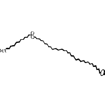 CCCCCCCCC=CCCCCCCCCCC(=O)OCCCCCCCCCCCCCCCCCCCCCCCCCCCCCCCCO